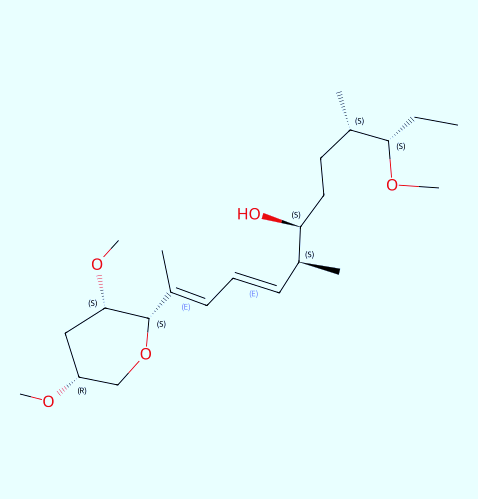 CC[C@H](OC)[C@@H](C)CC[C@H](O)[C@@H](C)/C=C/C=C(\C)[C@@H]1OC[C@H](OC)C[C@@H]1OC